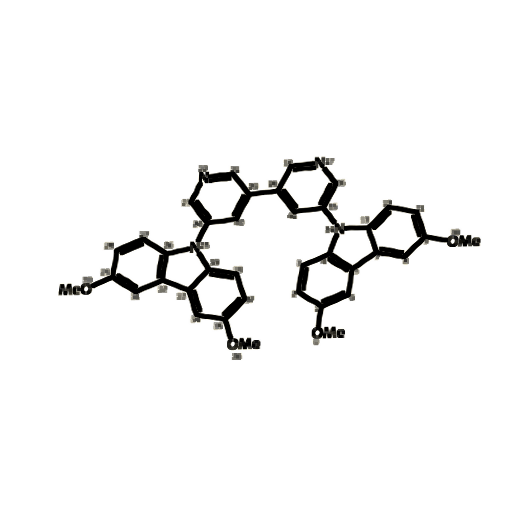 COc1ccc2c(c1)c1cc(OC)ccc1n2-c1cncc(-c2cncc(-n3c4ccc(OC)cc4c4cc(OC)ccc43)c2)c1